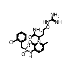 Cc1ccc(NS(=O)(=O)Cc2ccccc2Cl)c(=O)n1C(CCONC(=N)N)C(N)=O